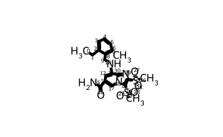 CCc1cccc(C)c1CNc1cc(C(N)=O)cn2c(S(C)(=O)=O)c(S(C)(=O)=O)nc12